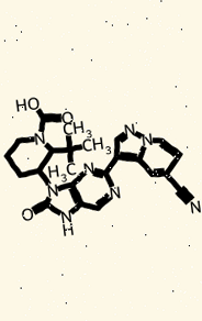 CC(C)(C)C1C(n2c(=O)[nH]c3cnc(-c4cnn5ccc(C#N)cc45)nc32)CCCN1C(=O)O